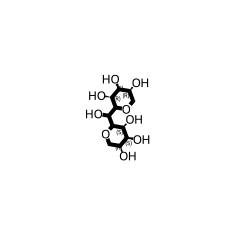 OC([C]1OC[C@@H](O)[C@H](O)[C@H]1O)C1OC[C@@H](O)[C@H](O)[C@H]1O